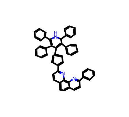 c1ccc(C2=C(c3ccccc3)C(c3ccc(-c4ccc5ccc6ccc(-c7ccccc7)nc6c5n4)cc3)=C(c3ccccc3)C(c3ccccc3)N2)cc1